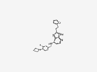 Fc1cc(CNc2ccnc3[nH]c(CCc4ccco4)nc23)ccc1N1CCC1